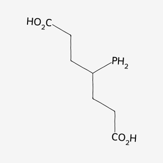 O=C(O)CCC(P)CCC(=O)O